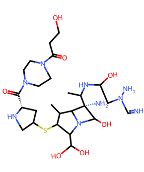 CC1C(SC2CN[C@H](C(=O)N3CCN(C(=O)CCO)CC3)C2)C(C(O)O)N2C(O)[C@](N)(C(C)NC(O)CN(N)C=N)C12